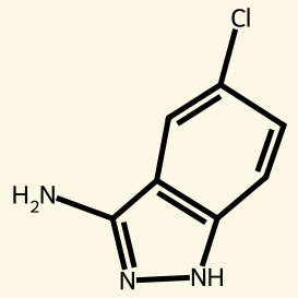 Nc1n[nH]c2ccc(Cl)cc12